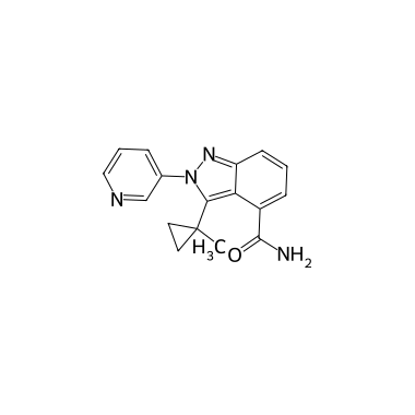 CC1(c2c3c(C(N)=O)cccc3nn2-c2cccnc2)CC1